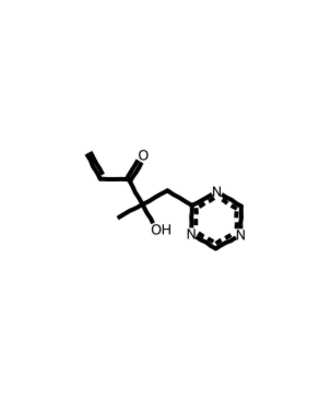 C=CC(=O)C(C)(O)Cc1ncncn1